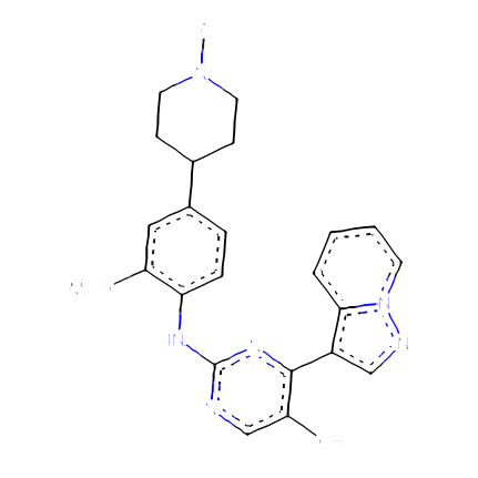 COc1cc(C2CCN(C(C)=O)CC2)ccc1Nc1ncc(C)c(-c2cnn3ccccc23)n1